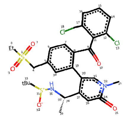 CCS(=O)(=O)Cc1ccc(C(=O)c2c(Cl)cccc2Cl)c(-c2cn(C)c(=O)cc2[C@H](C)N[S+]([O-])C(C)(C)C)c1